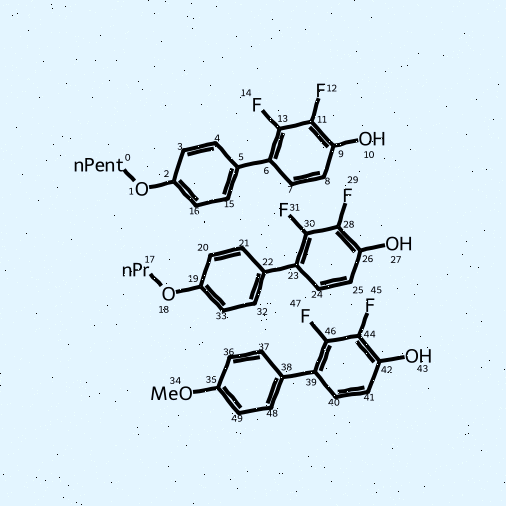 CCCCCOc1ccc(-c2ccc(O)c(F)c2F)cc1.CCCOc1ccc(-c2ccc(O)c(F)c2F)cc1.COc1ccc(-c2ccc(O)c(F)c2F)cc1